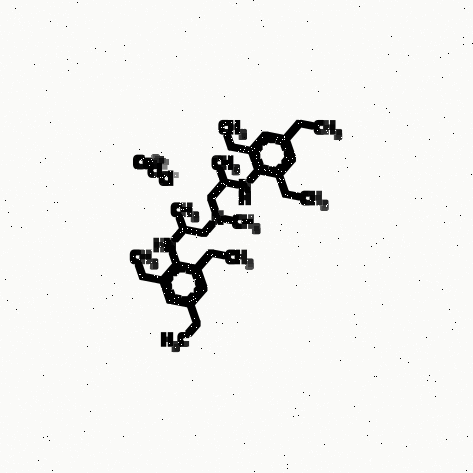 CCc1cc(CC)c(NC(C)CN(C)CC(C)Nc2c(CC)cc(CC)cc2CC)c(CC)c1.[Cl-].[Cl-].[Co+2]